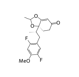 COc1cc(F)c(C[C@H](C)[C@]23CCC(=O)C=C2OC(C)O3)cc1F